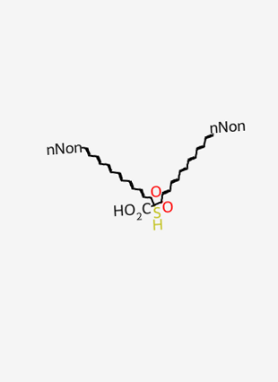 CCCCCCCCCC=CC=CC=CC=CC=CC=CC(=O)C(S)(C(=O)O)C(=O)C=CC=CC=CC=CC=CC=CCCCCCCCCC